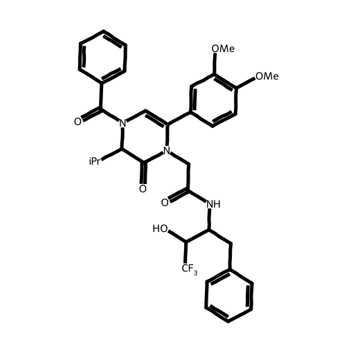 COc1ccc(C2=CN(C(=O)c3ccccc3)C(C(C)C)C(=O)N2CC(=O)NC(Cc2ccccc2)C(O)C(F)(F)F)cc1OC